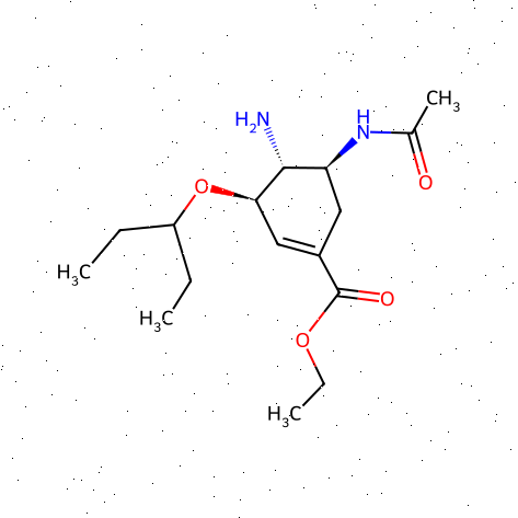 CCOC(=O)C1=C[C@@H](OC(CC)CC)[C@H](N)[C@@H](NC(C)=O)C1